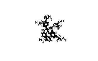 COc1ccc(C(Nc2ccc3c(N)nccc3c2)C(=O)NC(C)c2cccc(NC(C)=O)c2)cc1OC.O=C(O)C(F)(F)F